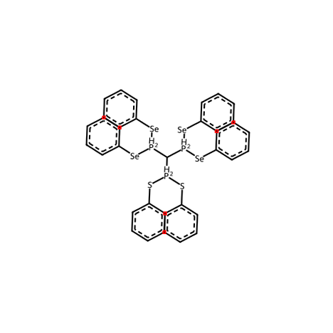 c1ccc(S[PH2](Sc2ccccc2)C([PH2]([Se]c2ccccc2)[Se]c2ccccc2)[PH2]([Se]c2ccccc2)[Se]c2ccccc2)cc1